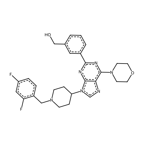 OCc1cccc(-c2nc(N3CCOCC3)c3ncn(C4CCN(Cc5ccc(F)cc5F)CC4)c3n2)c1